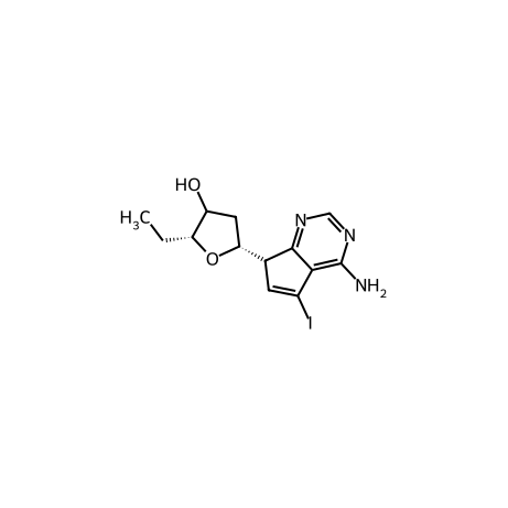 CC[C@H]1O[C@@H](C2C=C(I)c3c(N)ncnc32)CC1O